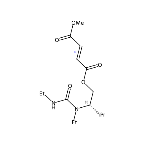 CCNC(=O)N(CC)[C@H](COC(=O)/C=C/C(=O)OC)C(C)C